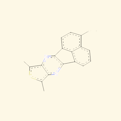 CCCCCCCCc1ccc2c3c(cccc13)-c1nc3c(C)sc(C)c3nc1-2